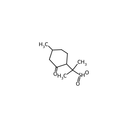 CC1CCC(C(C)(C)[SH](=O)=O)C(=O)C1